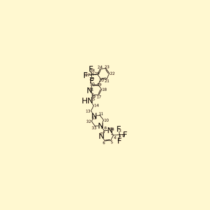 FC(F)(F)c1ccnc(N2CCN(CCNc3ccc(-c4ccccc4C(F)(F)F)cn3)CC2)n1